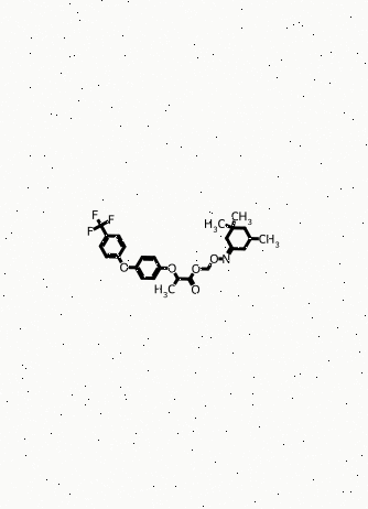 CC1CC(=NOCOC(=O)C(C)Oc2ccc(Oc3ccc(C(F)(F)F)cc3)cc2)CC(C)(C)C1